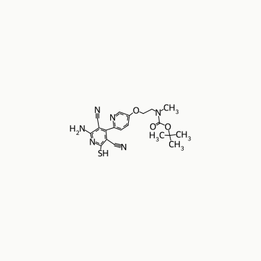 CN(CCOc1ccc(-c2c(C#N)c(N)nc(S)c2C#N)nc1)C(=O)OC(C)(C)C